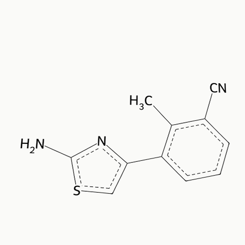 Cc1c(C#N)cccc1-c1csc(N)n1